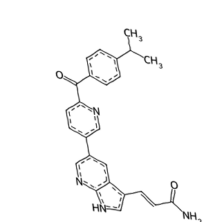 CC(C)c1ccc(C(=O)c2ccc(-c3cnc4[nH]cc(C=CC(N)=O)c4c3)cn2)cc1